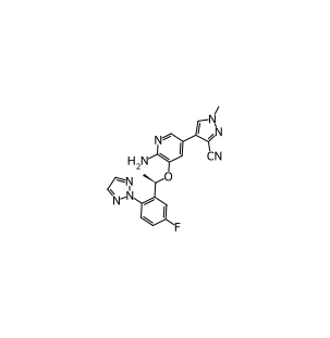 C[C@@H](Oc1cc(-c2cn(C)nc2C#N)cnc1N)c1cc(F)ccc1-n1nccn1